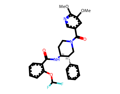 COc1cc(C(=O)N2CC[C@H](NC(=O)c3ccccc3OC(F)F)[C@@H](c3ccccc3)C2)cnc1OC